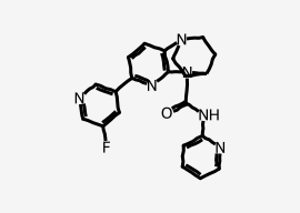 O=C(Nc1ccccn1)N1c2nc(-c3cncc(F)c3)ccc2N2CCC1CC2